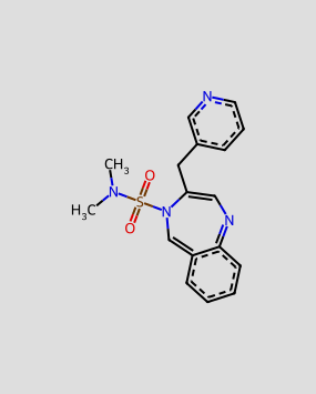 CN(C)S(=O)(=O)N1C=c2ccccc2=NC=C1Cc1cccnc1